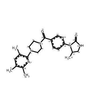 Cc1cc(C)c(N2CCN(C(=O)c3ccc(N4C(=O)NCC4C)nc3)CC2)nc1C